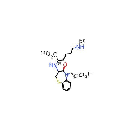 CCNCCCC[C@@H](NC1CSc2ccccc2N(CC(=O)O)C1=O)C(=O)O